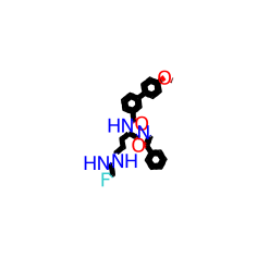 COc1ccc(-c2cccc(C(=O)NC(CCCNC(=N)CF)c3ncc(-c4ccccc4)o3)c2)cc1